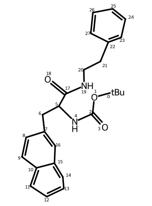 CC(C)(C)OC(=O)NC(Cc1ccc2ccccc2c1)C(=O)NCCc1ccccc1